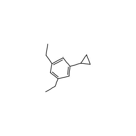 CCc1[c]c(C2CC2)cc(CC)c1